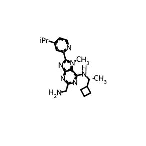 CC(C)c1ccnc(-c2nc3nc(CN)nc(N[C@H](C)C4CCC4)c3n2C)c1